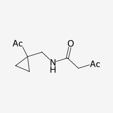 CC(=O)CC(=O)NCC1(C(C)=O)CC1